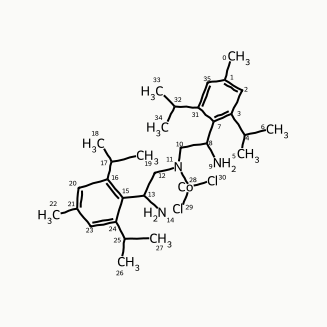 Cc1cc(C(C)C)c(C(N)C[N](CC(N)c2c(C(C)C)cc(C)cc2C(C)C)[Co]([Cl])[Cl])c(C(C)C)c1